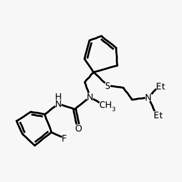 CCN(CC)CCSC1(CN(C)C(=O)Nc2ccccc2F)C=CC=CC1